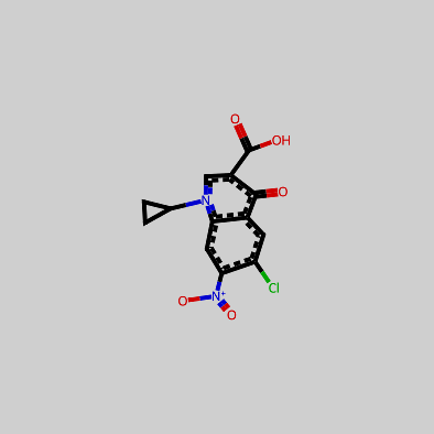 O=C(O)c1cn(C2CC2)c2cc([N+](=O)[O-])c(Cl)cc2c1=O